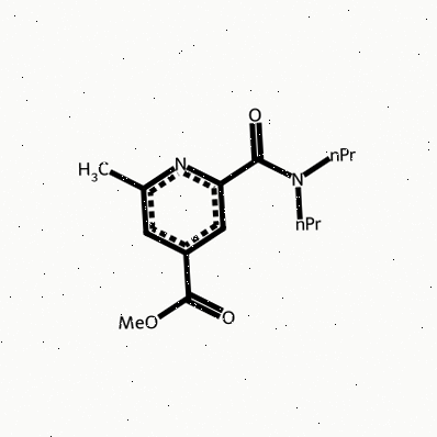 CCCN(CCC)C(=O)c1cc(C(=O)OC)cc(C)n1